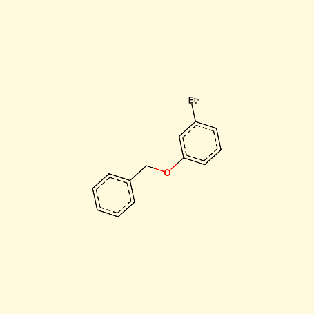 C[CH]c1cccc(OCc2ccccc2)c1